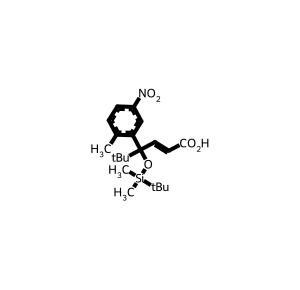 Cc1ccc([N+](=O)[O-])cc1C(/C=C/C(=O)O)(O[Si](C)(C)C(C)(C)C)C(C)(C)C